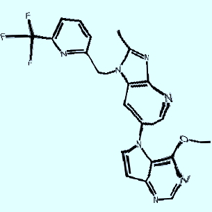 COc1ncnc2ccn(-c3cnc4nc(C)n(Cc5cccc(C(F)(F)F)n5)c4c3)c12